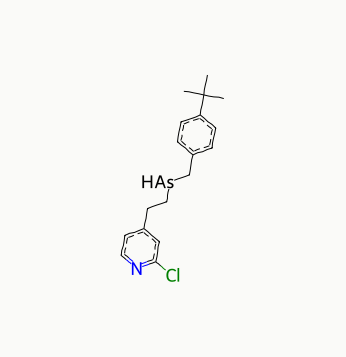 CC(C)(C)c1ccc(C[AsH]CCc2ccnc(Cl)c2)cc1